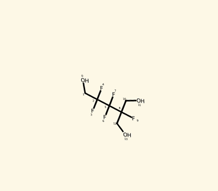 OCC(F)(F)C(F)(F)C(F)(CO)CO